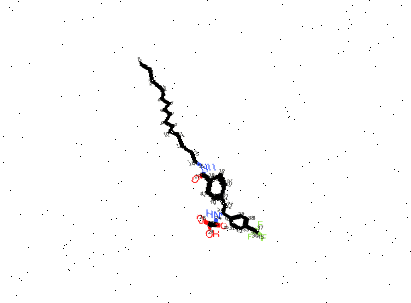 CCCCCCCCCCCCCCCNC(=O)c1ccc(CC(NC(=O)C(=O)O)c2ccc(C(F)(F)F)cc2)cc1